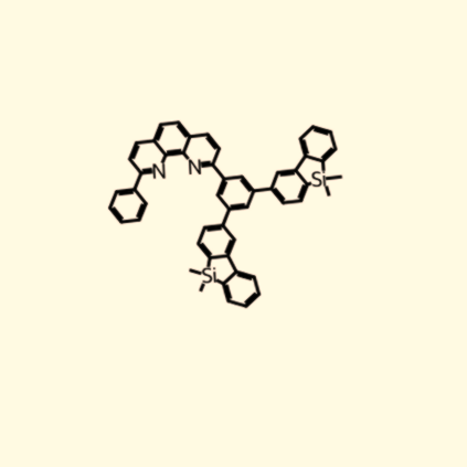 C[Si]1(C)c2ccccc2-c2cc(-c3cc(-c4ccc5c(c4)-c4ccccc4[Si]5(C)C)cc(-c4ccc5ccc6ccc(-c7ccccc7)nc6c5n4)c3)ccc21